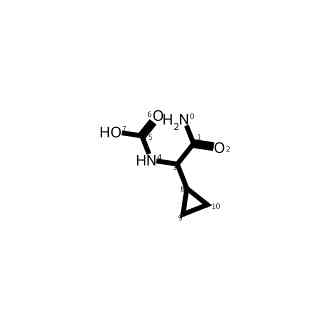 NC(=O)C(NC(=O)O)C1CC1